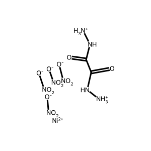 O=[N+]([O-])[O-].O=[N+]([O-])[O-].O=[N+]([O-])[O-].O=[N+]([O-])[O-].[NH3+]NC(=O)C(=O)N[NH3+].[Ni+2]